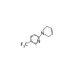 FC(F)(F)c1ccc(N2CC=CCC2)nc1